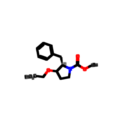 CCOC(=O)COC1CCN(C(=O)OC(C)(C)C)[C@H]1Cc1ccccc1